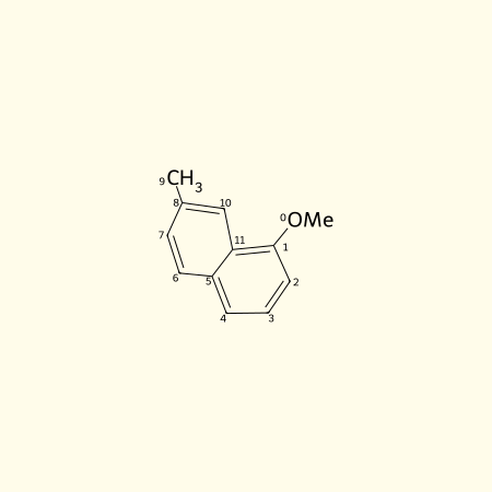 COc1cccc2ccc(C)cc12